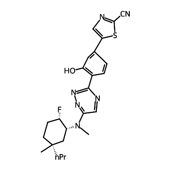 CCC[C@]1(C)CC[C@H](F)[C@H](N(C)c2cnc(-c3ccc(-c4cnc(C#N)s4)cc3O)nn2)C1